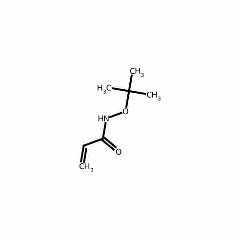 C=CC(=O)NOC(C)(C)C